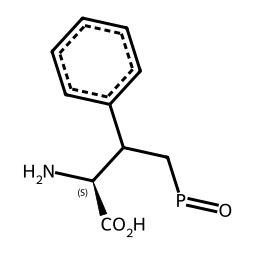 N[C@H](C(=O)O)C(CP=O)c1ccccc1